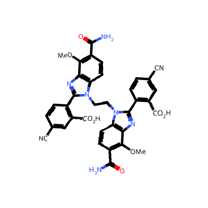 COc1c(C(N)=O)ccc2c1nc(-c1ccc(C#N)cc1C(=O)O)n2CCn1c(-c2ccc(C#N)cc2C(=O)O)nc2c(OC)c(C(N)=O)ccc21